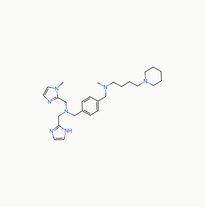 CN(CCCCN1CCCCC1)Cc1ccc(CN(Cc2ncc[nH]2)Cc2nccn2C)cc1